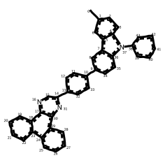 Cc1ccc2c(c1)c1cc(-c3ccc(-c4cnc5c6ccccc6c6ccccc6c5n4)cc3)ccc1n2-c1ccccc1